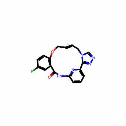 O=C1Nc2cccc(n2)-c2nncn2C/C=C/COc2ccc(F)cc21